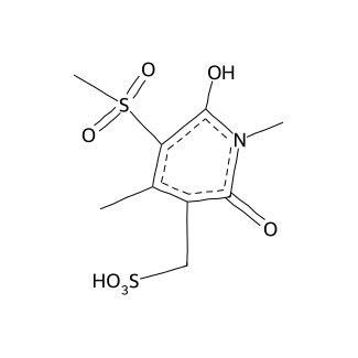 Cc1c(S(C)(=O)=O)c(O)n(C)c(=O)c1CS(=O)(=O)O